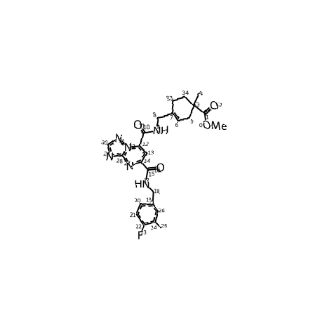 COC(=O)C1(C)CC=C(CNC(=O)c2cc(C(=O)NCc3ccc(F)c(C)c3)nc3ncnn23)CC1